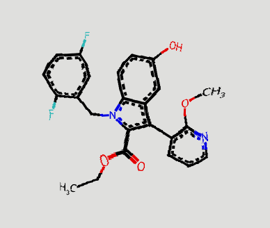 CCOC(=O)c1c(-c2cccnc2OC)c2cc(O)ccc2n1Cc1cc(F)ccc1F